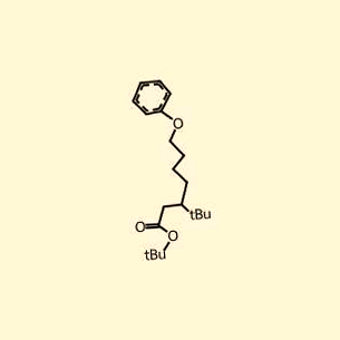 CC(C)(C)OC(=O)CC(CCCCOc1ccccc1)C(C)(C)C